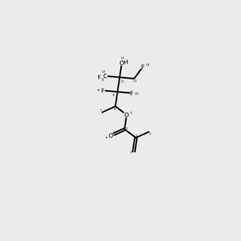 C=C(C)C(=O)OC(C)C(F)(F)C(O)(CF)C(F)(F)F